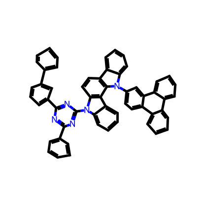 c1ccc(-c2cccc(-c3nc(-c4ccccc4)nc(-n4c5ccccc5c5c4ccc4c6ccccc6n(-c6ccc7c8ccccc8c8ccccc8c7c6)c45)n3)c2)cc1